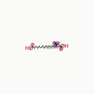 O=C(O)CCCCCCCCCCCCCC(CCC(=O)O)[N+](=O)[O-]